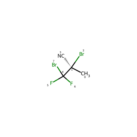 C[C@@](Br)(C#N)C(F)(F)Br